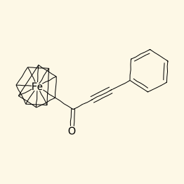 O=C(C#Cc1ccccc1)[C]12[CH]3[CH]4[CH]5[CH]1[Fe]45321678[CH]2[CH]1[CH]6[CH]7[CH]28